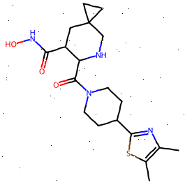 Cc1nc(C2CCN(C(=O)C3NCC4(CC4)CC3C(=O)NO)CC2)sc1C